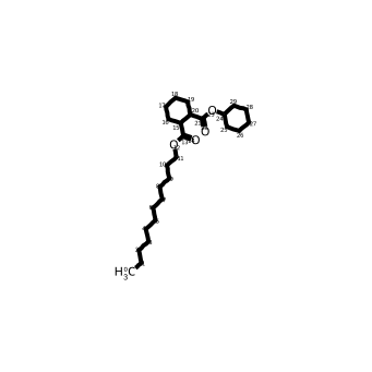 CCCCCCCCCCCCOC(=O)C1CCCCC1C(=O)OC1CCCCC1